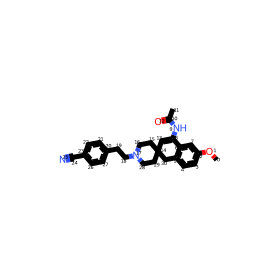 COc1ccc2c(c1)C(NC(C)=O)=CC1(CCN(CCc3ccc(C#N)cc3)CC1)C2